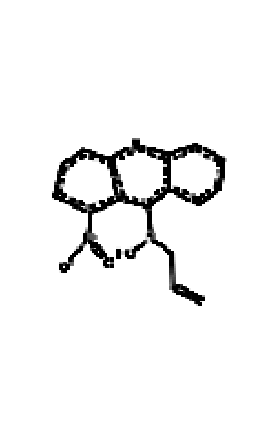 C=CCN(O)c1c2ccccc2nc2cccc([N+](=O)[O-])c12